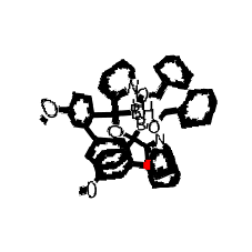 COc1ccc(C(BOCc2ccccc2)(OC(BOCc2ccccc2)(c2ccccn2)c2ccc(OC)cc2-c2ccccc2)c2ccccn2)c(-c2ccccc2)c1